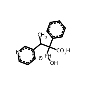 CC(c1cccnc1)C(C(=O)O)(c1ccccc1)[PH](=O)O